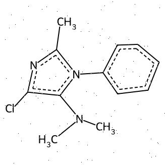 Cc1nc(Cl)c(N(C)C)n1-c1ccccc1